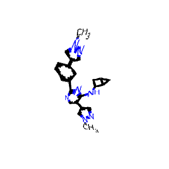 Cn1cc(-c2cccc(-c3ncc(-c4cnn(C)c4)c(NC4CC5CC54)n3)c2)cn1